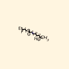 CCC(F)CCOC(=O)/C=C/CCCC(C)O